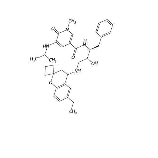 CCc1ccc2c(c1)C(NC[C@@H](O)[C@H](Cc1ccccc1)NC(=O)c1cc(NC(C)C)c(=O)n(C)c1)CC1(CCC1)O2